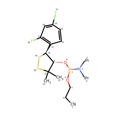 CC(C)N(C(C)C)P(OCCC#N)O[C@H]1[C@H](c2ccc(F)cc2F)SSC1(C)C